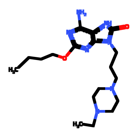 CCCCOc1nc(N)c2[nH]c(=O)n(CCCN3CCN(CC)CC3)c2n1